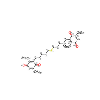 COC1=CC(=O)C(OC)=C(CCCCCSCCCCCC2=C(OC)C(=O)C=C(OC)C2=O)C1=O